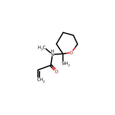 C=CC(=O)[SiH](C)C1([SiH3])CCCCO1